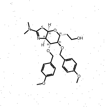 COc1ccc(CO[C@@H]2[C@H]3N=C(N(C)C)S[C@H]3O[C@H](CCO)[C@H]2OCc2ccc(OC)cc2)cc1